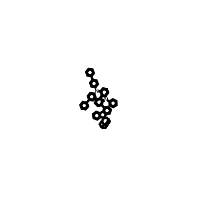 c1ccc(-c2ccc(N(c3ccc(-c4ccccc4)cc3)c3cccc4c3c3cccc(-c5cccc6c5-c5ccccc5C65C6CC7CC(C6)CC5C7)c3n4-c3ccccc3)cc2)cc1